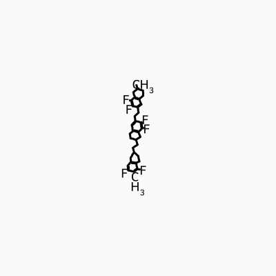 Cc1c(F)cc2c(c1F)CCC(CCC1CCc3cc(CCc4cc5c(c(F)c4F)CC(C)CC5)c(F)c(F)c3C1)C2